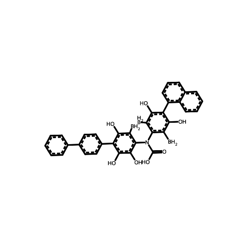 Bc1c(O)c(-c2cccc3ccccc23)c(O)c(B)c1N(C(=O)O)c1c(B)c(O)c(-c2ccc(-c3ccccc3)cc2)c(O)c1O